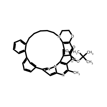 Cc1nc2cc3nn2c(c1[C@H](OC(C)(C)C)C(=O)O)-c1cc2c(cc1F)OCCN2CCCCCc1ccccc1-c1cccc-3c1